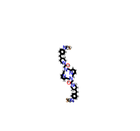 O=C(CN1Cc2cccc(n2)CN(CC(=O)N2CCC(Cc3ccc(N=C=S)cc3)CC2)Cc2cccc(n2)C1)N1CCC(Cc2ccc(N=C=S)cc2)CC1